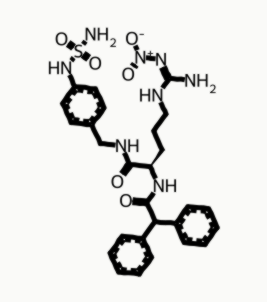 N/C(=N/[N+](=O)[O-])NCCC[C@@H](NC(=O)C(c1ccccc1)c1ccccc1)C(=O)NCc1ccc(NS(N)(=O)=O)cc1